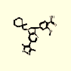 COc1cc(-c2cn(CC3(C)CCCCC3)c3cc(-c4c(C)noc4C)cnc23)ccc1C(=O)O